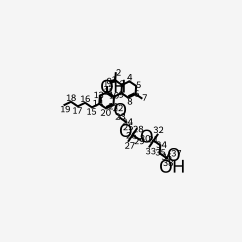 C=C(C)C1CCC(C)=CC1c1c(O)cc(CCCCC)cc1OCCOC(C)(C)COC(C)(C)CCC(=O)O